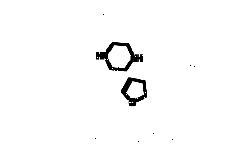 C1=COCC1.C1CNCCN1